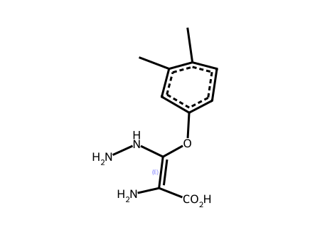 Cc1ccc(O/C(NN)=C(/N)C(=O)O)cc1C